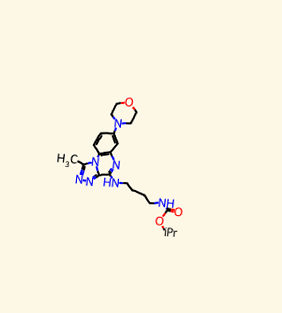 Cc1nnc2c(NCCCCNC(=O)OC(C)C)nc3cc(N4CCOCC4)ccc3n12